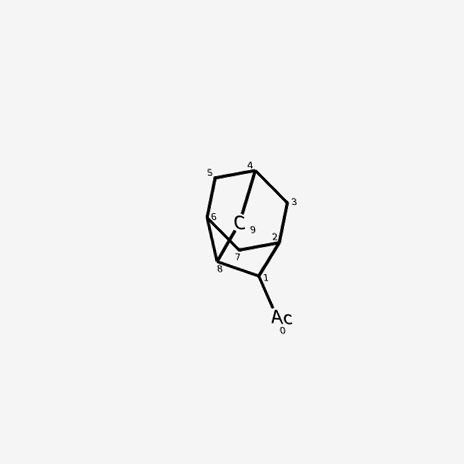 CC(=O)C1C2CC3CC(C2)C1C3